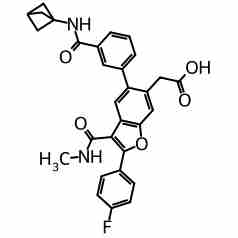 CNC(=O)c1c(-c2ccc(F)cc2)oc2cc(CC(=O)O)c(-c3cccc(C(=O)NC45CC(C4)C5)c3)cc12